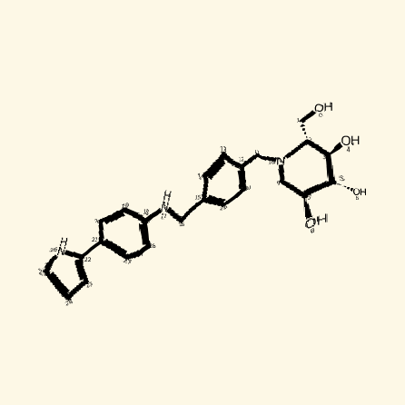 OC[C@@H]1[C@@H](O)[C@H](O)[C@@H](O)CN1Cc1ccc(CNc2ccc(-c3ccc[nH]3)cc2)cc1